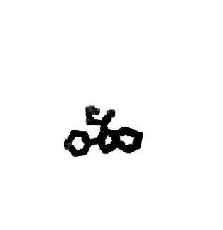 CC(C)(C)OC(=O)n1c(C2=CCOCC2)cc2ccccc21